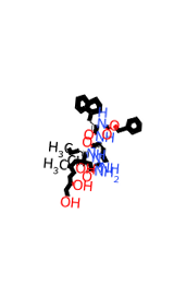 CC(C)C[C@H](NC(=O)[C@H](Cc1c[nH]cn1)NC(=O)[C@H](Cc1cccc2ccccc12)NC(=O)OCc1ccccc1)[C@@](O)(CC(N)=O)CC(C)CCC(O)CCO